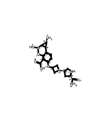 C[C@@H]1C2B(O)Oc3c(ccc(OC4CN([C@H]5CN[C@@H](C(N)=O)C5)C4)c3C(=O)O)C21